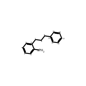 Pc1ccccc1CCCc1ccccc1